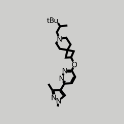 Cc1nn(C)cc1-c1ccc(OC2CC3(CCN(CC(C)C(C)(C)C)CC3)C2)nn1